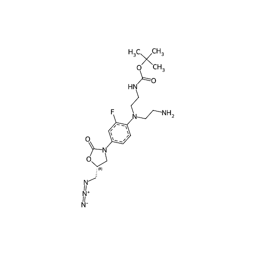 CC(C)(C)OC(=O)NCCN(CCN)c1ccc(N2C[C@H](CN=[N+]=[N-])OC2=O)cc1F